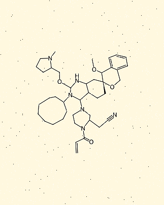 C=CC(=O)N1CCN(C2C3CC[C@]4(CC3NC(OCC3CCCN3C)N2C2CCCCCCCC2)OCc2ccccc2C4OC)CC1CC#N